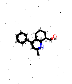 Cc1cc(-c2ccccc2)c2c(n1)C(C=O)CCC2